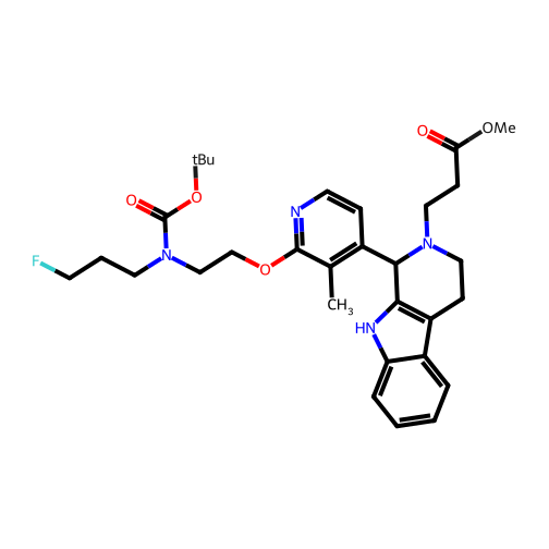 COC(=O)CCN1CCc2c([nH]c3ccccc23)C1c1ccnc(OCCN(CCCF)C(=O)OC(C)(C)C)c1C